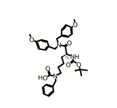 COc1ccc(CN(Cc2ccc(OC)cc2)C(=O)[C@H](CCCCN(Cc2ccccc2)C(=O)O)NC(=O)OC(C)(C)C)cc1